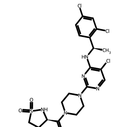 C[C@@H](Nc1nc(N2CCN(C(=O)[C@H]3CCS(=O)(=O)N3)CC2)ncc1Cl)c1ccc(Cl)cc1Cl